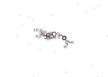 C[C@H](CCC(=O)O)[C@H]1CC[C@H]2[C@@H]3CC[C@@H]4C[C@H](OC(=O)Cc5ccc(N(CCBr)CCBr)cc5)CC[C@]4(C)[C@H]3C[C@H](O)[C@]12C